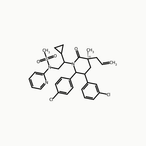 C=CC[C@@]1(C)CC(c2cccc(Cl)c2)C(c2ccc(Cl)cc2)N(C(CN(c2ccccn2)S(C)(=O)=O)C2CC2)C1=O